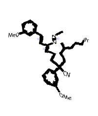 C/N=N/C(=C\CCC(C#N)(CCC(C)CCCC(C)C)c1cccc(OC)c1)/C=C/c1cccc(OC)c1